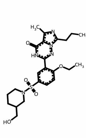 CCCc1nc(C)c2c(=O)[nH]c(-c3cc(S(=O)(=O)N4CCCC(CO)C4)ccc3OCC)nn12